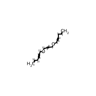 C=CCC#CCOCC#CCOCC#CCC=C